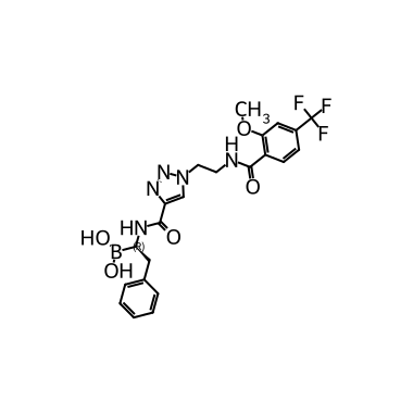 COc1cc(C(F)(F)F)ccc1C(=O)NCCn1cc(C(=O)N[C@@H](Cc2ccccc2)B(O)O)nn1